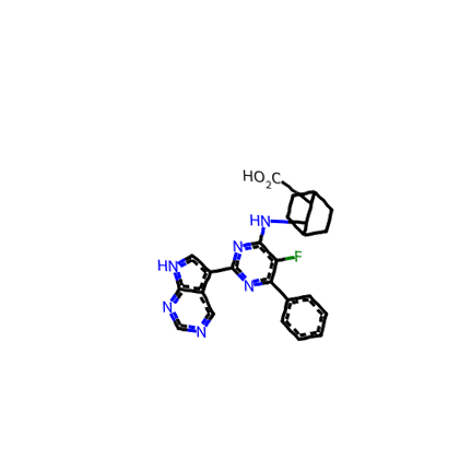 O=C(O)C1C2CCC(CC2)C1Nc1nc(-c2c[nH]c3ncncc23)nc(-c2ccccc2)c1F